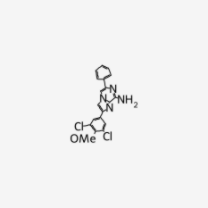 COc1c(Cl)cc(-c2cn3cc(-c4ccccc4)nc(N)c3n2)cc1Cl